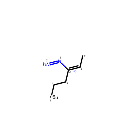 C/C=C(/CCCCCC)N=N